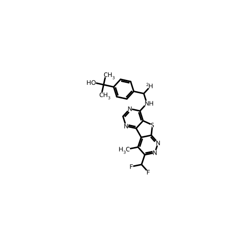 [2H]C(Nc1ncnc2c1sc1nnc(C(F)F)c(C)c12)c1ccc(C(C)(C)O)cc1